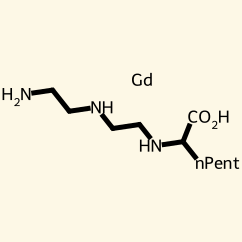 CCCCCC(NCCNCCN)C(=O)O.[Gd]